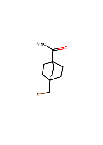 COC(=O)C12CCC(CBr)(CC1)CC2